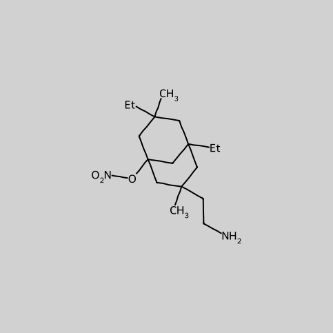 CCC1(C)CC2(CC)CC(C)(CCN)CC(O[N+](=O)[O-])(C1)C2